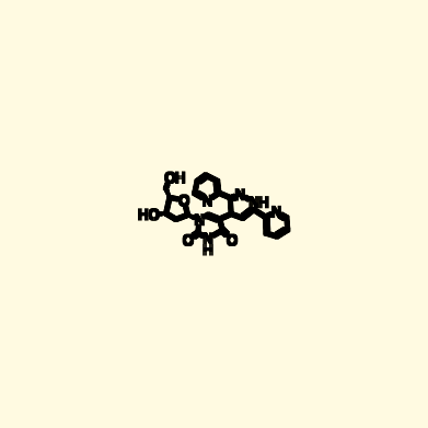 O=c1[nH]c(=O)n([C@H]2C[C@@H](O)[C@@H](CO)O2)cc1C1C=C(c2ccccn2)NN=C1c1ccccn1